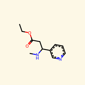 CCOC(=O)CC(NC)c1cccnc1